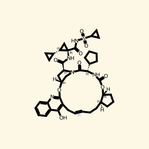 O=C1N[C@@H](C2CCCC2)C(=O)N2C[C@@H](C[C@H]2C(=O)N[C@]2(C(=O)NS(=O)(=O)C3CC3)C[C@H]2C2CC2)Oc2nc3ccccc3c(O)c2C/C=C/CC[C@@H]2CCC[C@H]2O1